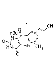 CCCCn1c(C(=O)c2cc(C)cc(C=CC#N)c2)c(C(C)C)c(=O)[nH]c1=O